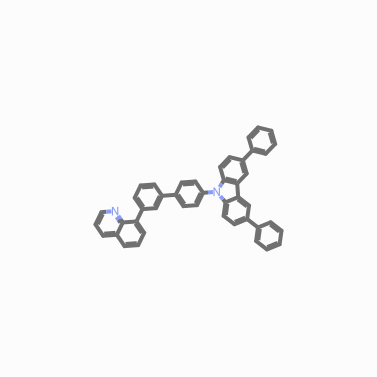 c1ccc(-c2ccc3c(c2)c2cc(-c4ccccc4)ccc2n3-c2ccc(-c3cccc(-c4cccc5cccnc45)c3)cc2)cc1